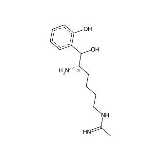 CC(=N)NCCCC[C@H](N)C(O)c1ccccc1O